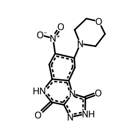 O=c1[nH]c2cc([N+](=O)[O-])c(N3CCOCC3)cc2n2c(=O)[nH]nc12